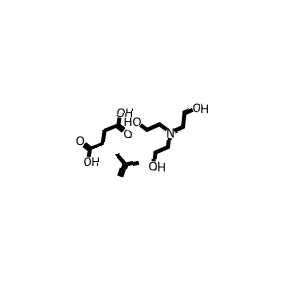 C=C(C)C.O=C(O)CCC(=O)O.OCCN(CCO)CCO